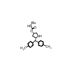 Cc1ccc(C(c2ccc(C)cc2)[C@H]2C[C@@H](OC(=O)NC(C)(C)C)CN2)cc1